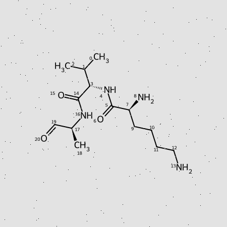 CC(C)[C@H](NC(=O)[C@@H](N)CCCCN)C(=O)N[C@@H](C)C=O